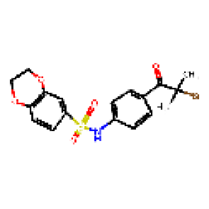 CC(C)(Br)C(=O)c1ccc(NS(=O)(=O)c2ccc3c(c2)OCCO3)cc1